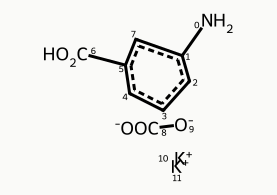 Nc1cccc(C(=O)O)c1.O=C([O-])[O-].[K+].[K+]